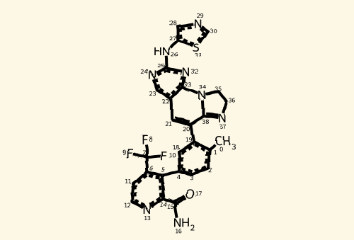 Cc1ccc(-c2c(C(F)(F)F)ccnc2C(N)=O)cc1C1=Cc2cnc(Nc3cncs3)nc2N2CCN=C12